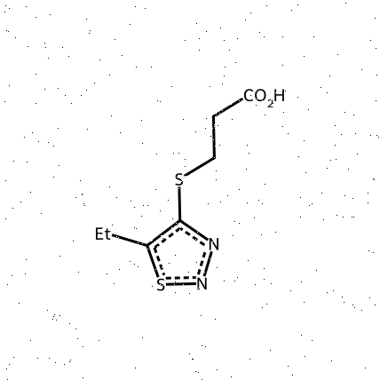 CCc1snnc1SCCC(=O)O